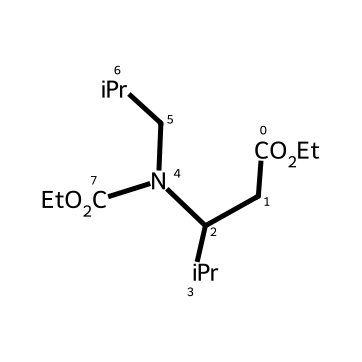 CCOC(=O)CC(C(C)C)N(CC(C)C)C(=O)OCC